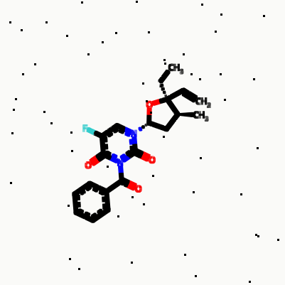 C=C[C@]1(CC)O[C@@H](n2cc(F)c(=O)n(C(=O)c3ccccc3)c2=O)C[C@@H]1C